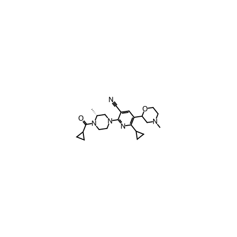 C[C@@H]1CN(c2nc(C3CC3)c(C3CN(C)CCO3)cc2C#N)CCN1C(=O)C1CC1